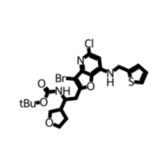 CC(C)(C)OC(=O)NC(Cc1oc2c(NCc3cccs3)cc(Cl)nc2c1Br)C1CCOC1